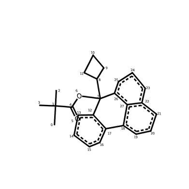 CC(C)(C)C(=O)OC1(C2CCC2)c2ccccc2-c2cccc3cccc1c23